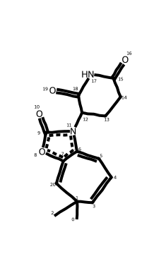 CC1(C)C=CC=c2c(oc(=O)n2C2CCC(=O)NC2=O)=C1